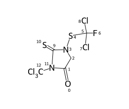 O=C1CN(SC(F)(Cl)Cl)C(=S)N1C(Cl)(Cl)Cl